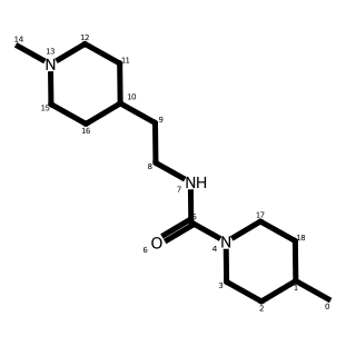 CC1CCN(C(=O)NCCC2CCN(C)CC2)CC1